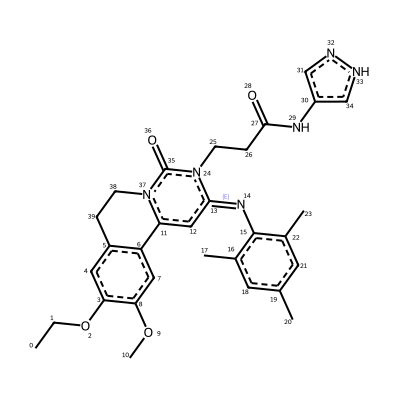 CCOc1cc2c(cc1OC)-c1c/c(=N\c3c(C)cc(C)cc3C)n(CCC(=O)Nc3cn[nH]c3)c(=O)n1CC2